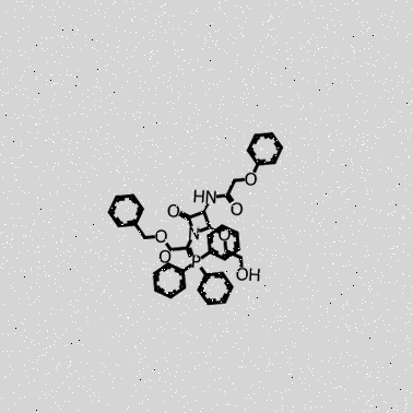 O=C(COc1ccccc1)N[C@@H]1C(=O)N(C(C(=O)OCc2ccccc2)=P(c2ccccc2)(c2ccccc2)c2ccccc2)[C@@H]1OCCO